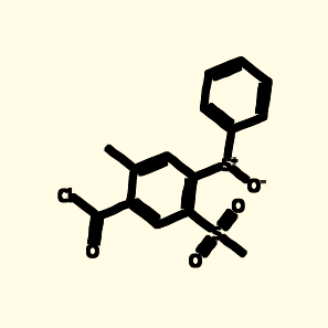 Cc1cc([S+]([O-])c2ccccc2)c(S(C)(=O)=O)cc1C(=O)Cl